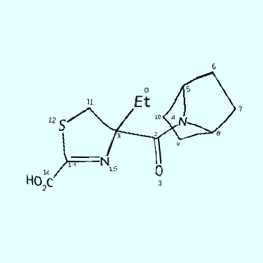 CCC1(C(=O)N2C3CCC2CC3)CSC(C(=O)O)=N1